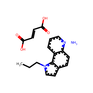 CCCn1ccc2ccc3ncccc3c21.N.O=C(O)C=CC(=O)O